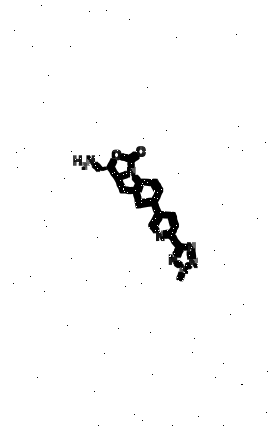 Cn1nnc(-c2ccc(-c3ccc4c(c3)CC3[C@H](CN)OC(=O)N43)cn2)n1